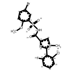 COc1ccc(Br)cc1S(=O)(=O)NC(=O)c1cn(C)c(-c2c(F)cccc2Cl)n1